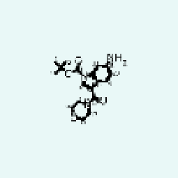 CC(C)(C)OC(=O)n1cc(C(=O)N2CCOCC2)c2ccc(N)cc21